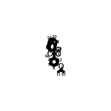 COC1(c2cccc(OC(C)C)c2)OOC12C1CC3CC(C1)CC2C3